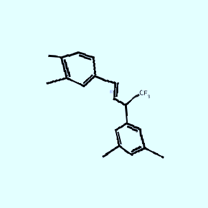 Cc1cc(C)cc(C(/C=C/c2ccc(C)c(C)c2)C(F)(F)F)c1